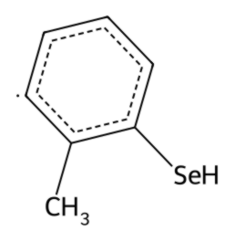 Cc1[c]cccc1[SeH]